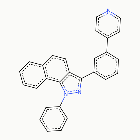 c1ccc(-n2nc(-c3cccc(-c4ccncc4)c3)c3ccc4ccccc4c32)cc1